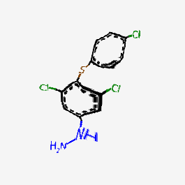 NNc1cc(Cl)c(Sc2ccc(Cl)cc2)c(Cl)c1